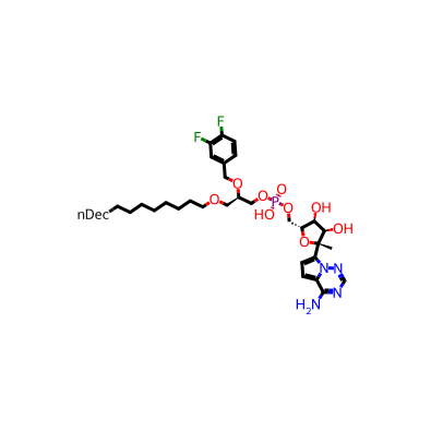 CCCCCCCCCCCCCCCCCCOC[C@H](COP(=O)(O)OC[C@H]1O[C@@](C)(c2ccc3c(N)ncnn23)[C@H](O)[C@@H]1O)OCc1ccc(F)c(F)c1